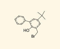 CC(C)(C)c1cc(CBr)c(O)c(-c2ccccc2)c1